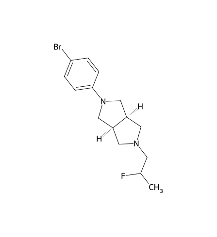 CC(F)CN1C[C@@H]2CN(c3ccc(Br)cc3)C[C@@H]2C1